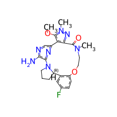 COc1c2c(nn1C)C(=O)N(C)CCOc1ccc(F)cc1[C@H]1CCCN1c1nc-2cnc1N